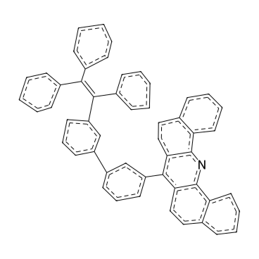 c1ccc(C(=C(c2ccccc2)c2cccc(-c3cccc(-c4c5ccc6ccccc6c5nc5c4ccc4ccccc45)c3)c2)c2ccccc2)cc1